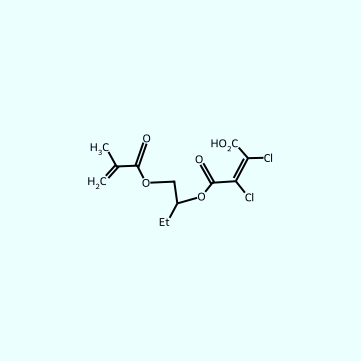 C=C(C)C(=O)OCC(CC)OC(=O)/C(Cl)=C(/Cl)C(=O)O